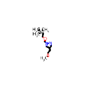 COCCc1cnn(COCC[Si](C)(C)C)c1